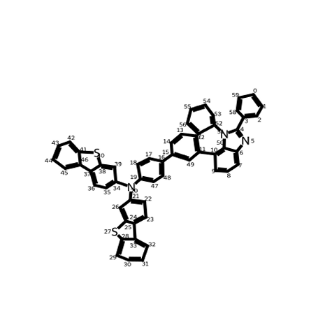 c1ccc(-c2nc3cccc(-c4cccc(-c5ccc(N(c6ccc7c(c6)sc6ccccc67)c6ccc7c(c6)sc6ccccc67)cc5)c4)c3n2-c2ccccc2)cc1